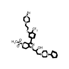 CC(=O)N1CCN(CCSc2cc(-c3nn(CC(O)CN4CCN(c5ccccc5)CC4)c4c3CN(S(C)(=O)=O)CC4)ccc2C(F)(F)F)CC1